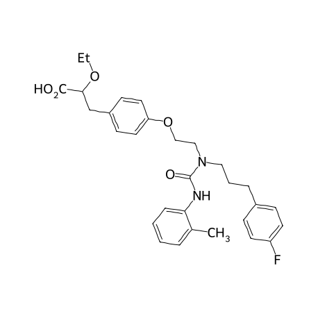 CCOC(Cc1ccc(OCCN(CCCc2ccc(F)cc2)C(=O)Nc2ccccc2C)cc1)C(=O)O